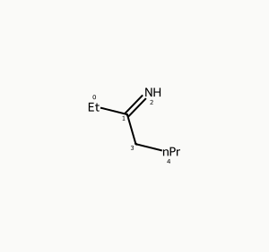 [CH2]CC(=N)CCCC